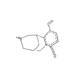 C=Cc1ccc(=O)n2c1C1CNCC(C1)C2